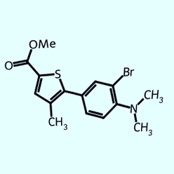 COC(=O)c1cc(C)c(-c2ccc(N(C)C)c(Br)c2)s1